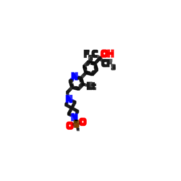 CCc1cc(CN2CC3(C2)CN(S(C)(=O)=O)C3)cnc1-c1ccc(C(O)(C(F)(F)F)C(F)(F)F)cc1